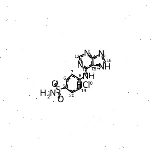 Cl.NS(=O)(=O)c1ccc(Nc2ncnc3nc[nH]c23)cc1